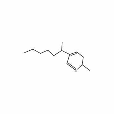 CCCCCC(C)C1=CCC(C)N=C1